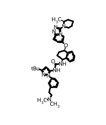 C[C@H]1CCCCN1c1nnc2ccc(O[C@@H]3CC[C@H](NC(=O)Nc4cc(C(C)(C)C)nn4-c4cccc(CCN(C)C)c4)c4ccccc43)cn12